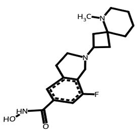 CN1CCCCC12CC(N1CCc3cc(C(=O)NO)cc(F)c3C1)C2